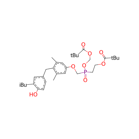 CCC(C)c1cc(Cc2c(C)cc(OCP(=O)(CCOC(=O)C(C)(C)C)OCOC(=O)C(C)(C)C)cc2C)ccc1O